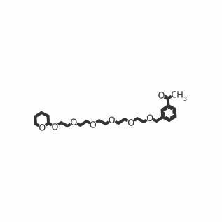 CC(=O)c1cccc(COCCOCCOCCOCCOCCOC2CCCCO2)c1